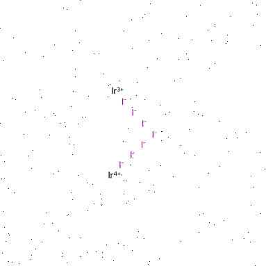 [I-].[I-].[I-].[I-].[I-].[I-].[I-].[Ir+3].[Ir+4]